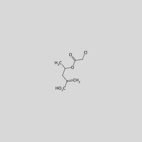 C=C(CC(C)OC(=O)CCl)C(=O)O